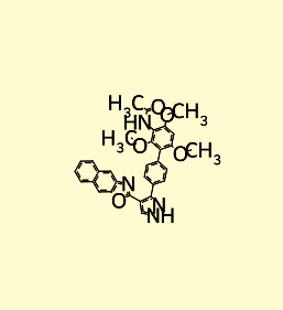 COc1cc(OC)c(-c2ccc(-c3n[nH]cc3-c3nc4cc5ccccc5cc4o3)cc2)c(OC)c1NC(C)=O